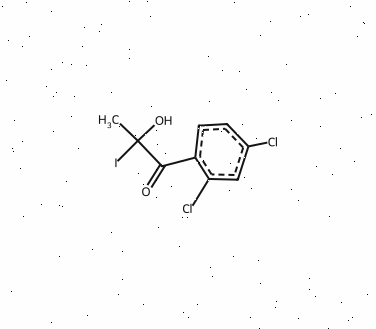 CC(O)(I)C(=O)c1ccc(Cl)cc1Cl